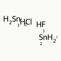 Cl.F.[SnH2].[SnH2]